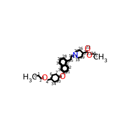 CCCOCC1CCC(Oc2ccc3c(CCN4CCC(C(=O)OCC)CC4)cccc3c2)CC1